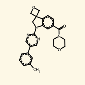 Cc1cccc(-c2cnc(N3CC4(COC4)c4ccc(C(=O)N5CCOCC5)cc43)nc2)c1